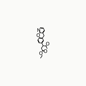 CCOC(=O)CC(C(C)=O)c1ccc2c(c1)Cc1cccnc1O2